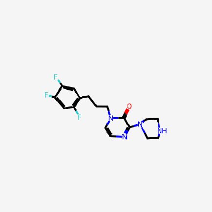 O=c1c(N2CCNCC2)nccn1CCCc1cc(F)c(F)cc1F